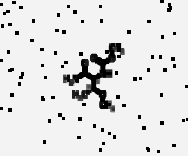 COC(=O)N[C@H](C(N)=O)[C@@H](C)OC